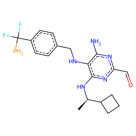 C[C@@H](Nc1nc(C=O)nc(N)c1NCc1ccc(C(F)(F)P)cc1)C1CCC1